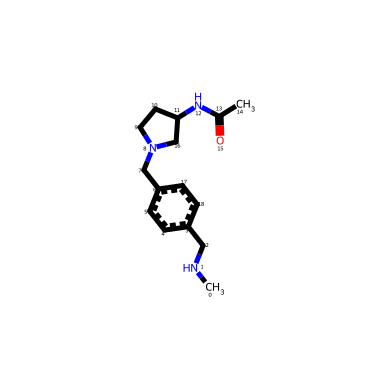 CNCc1ccc(CN2CCC(NC(C)=O)C2)cc1